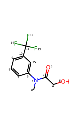 CN(C(=O)CO)c1cccc(C(F)(F)F)c1